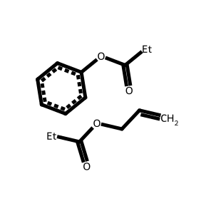 C=CCOC(=O)CC.CCC(=O)Oc1ccccc1